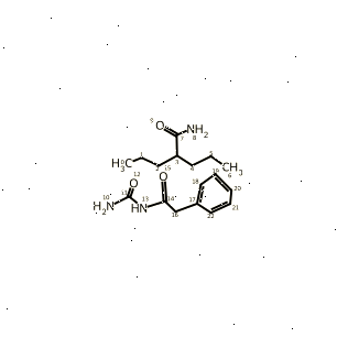 CCCC(CCC)C(N)=O.NC(=O)NC(=O)Cc1ccccc1